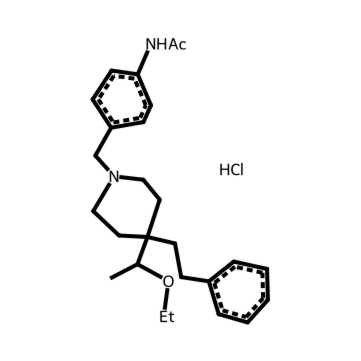 CCOC(C)C1(CCc2ccccc2)CCN(Cc2ccc(NC(C)=O)cc2)CC1.Cl